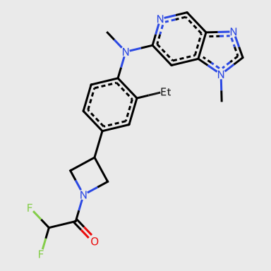 CCc1cc(C2CN(C(=O)C(F)F)C2)ccc1N(C)c1cc2c(cn1)ncn2C